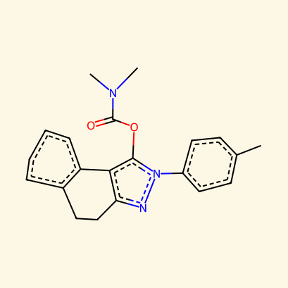 Cc1ccc(-n2nc3c(c2OC(=O)N(C)C)-c2ccccc2CC3)cc1